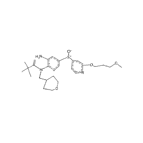 C=C(N(CC1CCOCC1)c1ccc([S+]([O-])c2ccnc(OCCCOC)c2)cc1N)C(C)(C)C